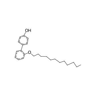 CCCCCCCCCCCCOc1ccccc1-c1ccc(O)cc1